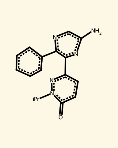 CC(C)n1nc(-c2nc(N)cnc2-c2ccccc2)ccc1=O